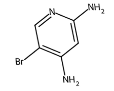 Nc1cc(N)c(Br)cn1